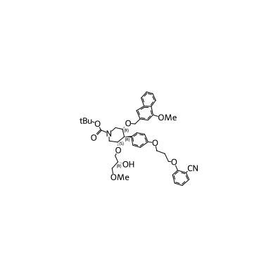 COC[C@@H](O)CO[C@@H]1CN(C(=O)OC(C)(C)C)C[C@H](OCc2cc(OC)c3ccccc3c2)[C@H]1c1ccc(OCCCOc2ccccc2C#N)cc1